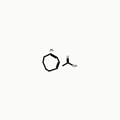 C1=C\CCCC\C=C/1.CC(=O)O.[Rh]